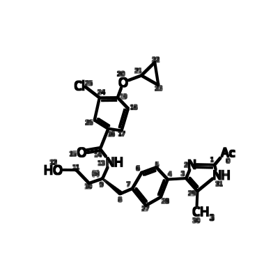 CC(=O)c1nc(-c2ccc(C[C@@H](CCO)NC(=O)c3ccc(OC4CC4)c(Cl)c3)cc2)c(C)[nH]1